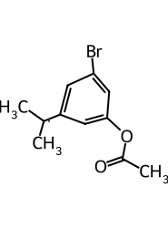 C[C](C)c1cc(Br)cc(OC(C)=O)c1